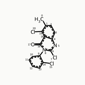 Cc1ccc2nc(Cl)n(-c3ccccc3Cl)c(=O)c2c1Cl